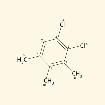 Cc1cc(Cl)c(Cl)c(C)c1C